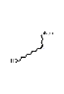 CCCCCCCCCCCC/C=C\CCCCCCCCO